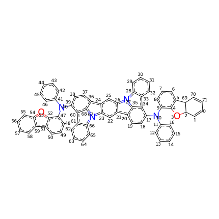 C1=CC2Oc3c(cccc3N(c3ccccc3)c3ccc4c5cc6c(cc5n5c7ccccc7c3c45)c3ccc(N(c4ccccc4)c4cccc5c4oc4ccccc45)c4c5ccccc5n6c34)C2C=C1